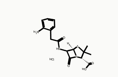 CC1(C)S[C@@H]2C(NC(=O)Cc3ccccc3N)C(=O)N2[C@H]1C(=O)O.Cl